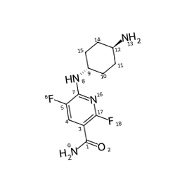 NC(=O)c1cc(F)c(N[C@H]2CC[C@H](N)CC2)nc1F